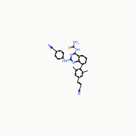 Cc1cc(/C=C/C#N)cc(C)c1-c1cccc2c(NC(N)=O)nc(Nc3ccc(C#N)cc3)nc12